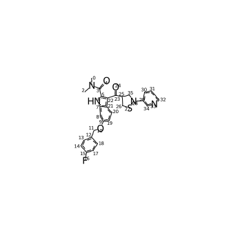 CN(C)C(=O)c1[nH]c2cc(OCc3ccc(F)cc3)ccc2c1C(=O)C1CSN(c2cccnc2)C1